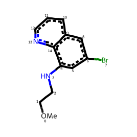 COCCNc1cc(Br)cc2cccnc12